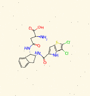 N[C@@H](CC(=O)N[C@H]1c2ccccc2C[C@H]1NC(=O)c1cc2sc(Cl)c(Cl)c2[nH]1)C(=O)O